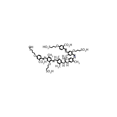 Cc1cc(NC(=O)Nc2cc(C)c(/N=N\c3cc(C)c(N=Nc4ccc(OCCCS(=O)(=O)O)cc4C(=O)O)cc3OCCCS(=O)(=O)O)cc2C)c(C)cc1N=Nc1cc(C)c(N=Nc2ccc(OCCCSO)cc2C(=O)O)cc1OCCCS(=O)(=O)O